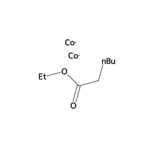 CCCCCC(=O)OCC.[Co].[Co]